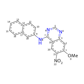 COc1cc2ncnc(Nc3ccc4ccccc4c3)c2cc1[N+](=O)[O-]